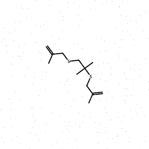 C=C(C)CSCC(C)(C)SCC(=C)C